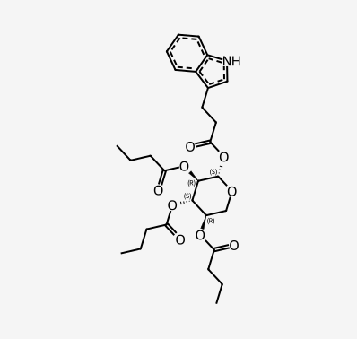 CCCC(=O)O[C@@H]1[C@@H](OC(=O)CCC)[C@H](OC(=O)CCc2c[nH]c3ccccc23)OC[C@H]1OC(=O)CCC